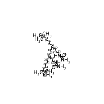 C[N+](C)(C)CCCCCN(CCCNC(N)=O)CCCN(CCCCC[N+](C)(C)C)CCNC(N)=O